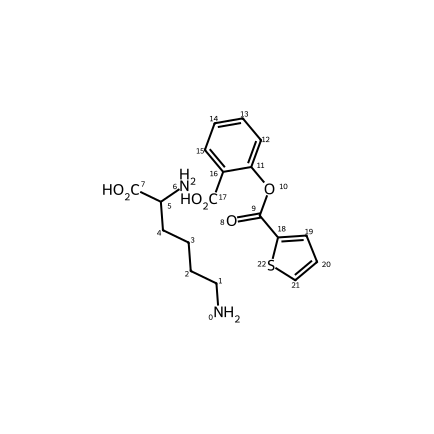 NCCCCC(N)C(=O)O.O=C(Oc1ccccc1C(=O)O)c1cccs1